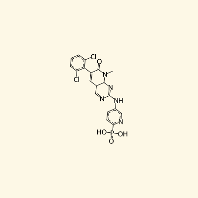 CN1C(=O)C(c2c(Cl)cccc2Cl)=CC2C=NC(Nc3ccc(P(=O)(O)O)nc3)=NC21